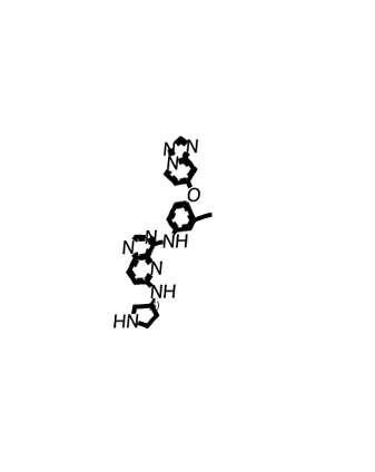 Cc1cc(Nc2ncnc3ccc(N[C@H]4CCNC4)nc23)ccc1Oc1ccn2ncnc2c1